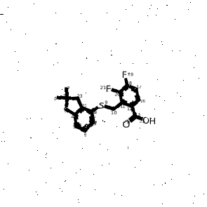 CC1(C)Cc2cccc(SCc3c(C(=O)O)ccc(F)c3F)c2C1